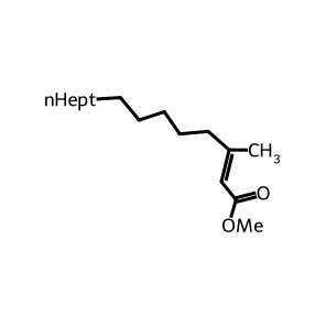 CCCCCCCCCCCCC(C)=CC(=O)OC